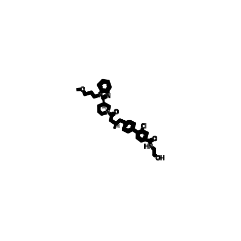 COCCCn1c([C@@H]2CCCN(C(=O)C[C@H](C)Cc3ccc(-c4ccc(C(=O)NCCO)cc4Cl)cc3)C2)nc2ccccc21